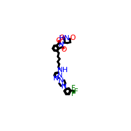 O=C1CCC(N2C(=O)c3cccc(CCCCCCNc4ccnc(N5CCN(c6cccc(C(F)(F)F)c6)CC5)n4)c3C2=O)C(=O)N1